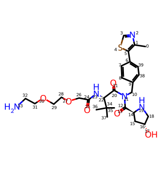 Cc1ncsc1-c1ccc(CN(C(=O)[C@@H]2C[C@@H](O)CN2)C(=O)[C@@H](NC(=O)COCCOCCN)C(C)(C)C)cc1